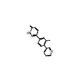 C=C1C=CC(c2ccc(-c3cccnc3)c(C)c2)=NN1